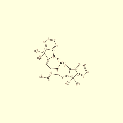 CN1C(=CC2=C(O)C(C=C3N(C)c4ccccc4C3(C)C)/C2=N\C#N)C(C)(C)c2ccccc21